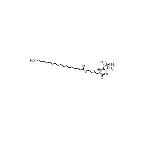 CCCCCCCCCCCCCCCCCC(=O)OCCSCC(NC(=O)OC(C)(C)C)C(=O)O